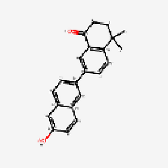 CC1(C)CCC(=O)c2cc(-c3ccc4cc(O)ccc4c3)ccc21